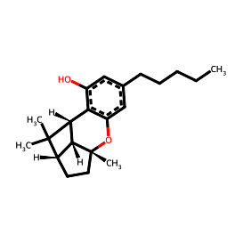 CCCCCc1cc(O)c2c(c1)O[C@]1(C)CC[C@H]3[C@@H]1[C@@H]2C3(C)C